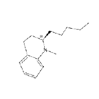 CCCCC[C@@H]1CCc2ccccc2N1C